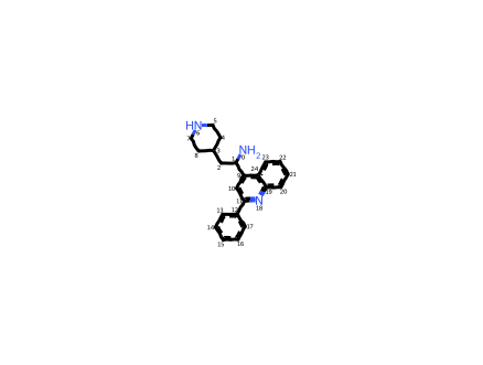 NC(CC1CCNCC1)c1cc(-c2ccccc2)nc2ccccc12